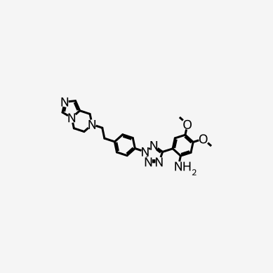 COc1cc(N)c(-c2nnn(-c3ccc(CCN4CCn5cncc5C4)cc3)n2)cc1OC